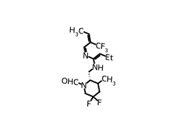 C\C=C(/C=N\C(=C\CC)NC[C@@H]1C(C)CC(F)(F)CN1C=O)C(F)(F)F